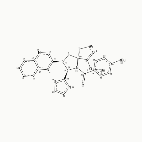 CC(C)C[C@@]1(C(=O)OC(C)(C)C)C[C@H](c2cnc3ccccc3n2)[C@H](c2nccs2)N1C(=O)c1ccc(C(C)(C)C)cc1